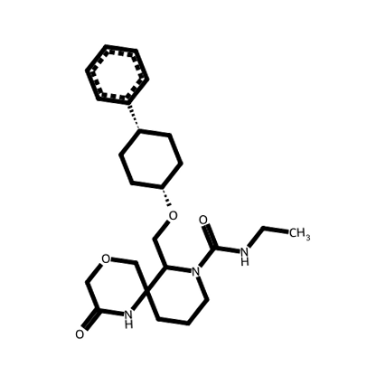 CCNC(=O)N1CCCC2(COCC(=O)N2)C1CO[C@H]1CC[C@@H](c2ccccc2)CC1